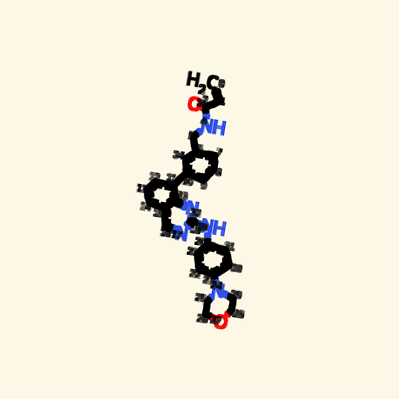 C=CC(=O)NCc1cccc(-c2cccc3cnc(Nc4ccc(N5CCOCC5)cc4)nc23)c1